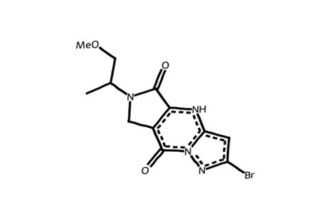 COCC(C)N1Cc2c([nH]c3cc(Br)nn3c2=O)C1=O